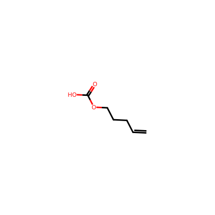 C=CCCCOC(=O)O